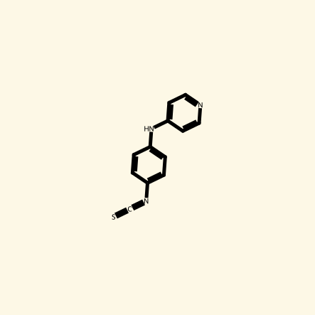 S=C=Nc1ccc(Nc2ccncc2)cc1